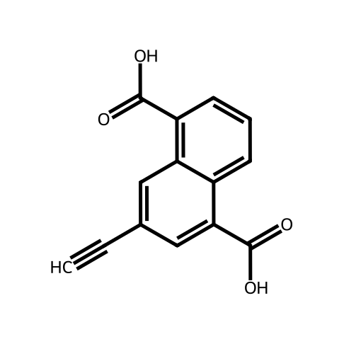 C#Cc1cc(C(=O)O)c2cccc(C(=O)O)c2c1